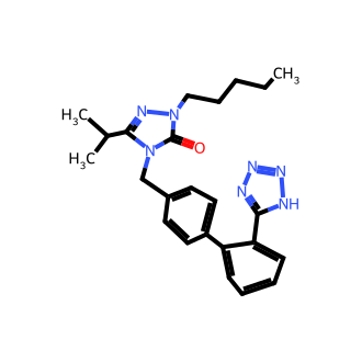 CCCCCn1nc(C(C)C)n(Cc2ccc(-c3ccccc3-c3nnn[nH]3)cc2)c1=O